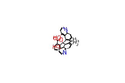 Cc1ccc2nccc(O)c2c1C1(c2c(C)ccc3nccc(O)c23)OC(=O)c2ccccc21